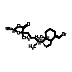 C[C@H](CCC[C@]1(C)O[C@@H](C(C)(C)C)OC1=O)[C@H]1CCC2C(=CBr)CCC[C@]21C